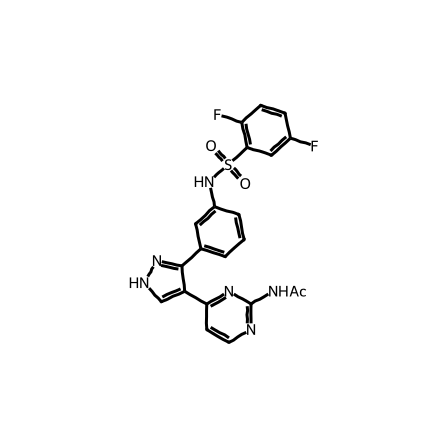 CC(=O)Nc1nccc(-c2c[nH]nc2-c2cccc(NS(=O)(=O)c3cc(F)ccc3F)c2)n1